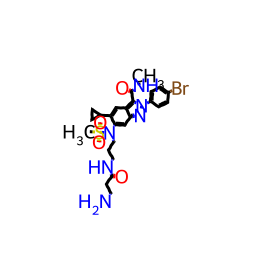 CNC(=O)c1c2cc(C3CC3)c(N(CCCNC(=O)CCN)S(C)(=O)=O)cc2nn1-c1ccc(Br)cc1